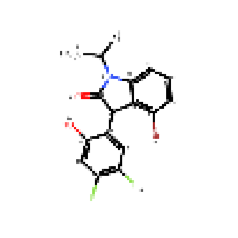 CCC(C(=O)O)N1C(=O)C(c2cc(F)c(F)cc2O)c2c(Br)cccc21